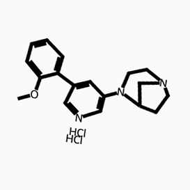 COc1ccccc1-c1cncc(N2CCN3CCC2C3)c1.Cl.Cl